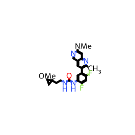 CNc1cc2nc(C)c(-c3cc(NC(=O)NCCC4(OC)CC4)c(F)cc3F)cc2cn1